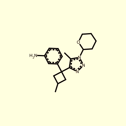 Cc1c(C2(c3cccc(N)c3)CC(C)C2)nnn1C1CCCCO1